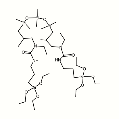 CCO[Si](CCCNC(=O)N(CC)CC(C)C[Si](C)(C)O[Si](C)(C)O[Si](C)(C)CC(C)CN(CC)C(=O)NCCC[Si](OCC)(OCC)OCC)(OCC)OCC